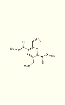 C/C=C\c1cc(C(=O)OC(C)(C)C)c(COC)cc1C(=O)OC(C)(C)C